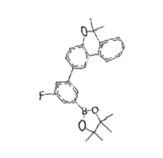 CC1(C)Oc2ccc(-c3cc(F)cc(B4OC(C)(C)C(C)(C)O4)c3)cc2-c2ccccc21